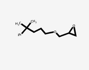 CC(C)C(C)(C)CCCOCC1CO1